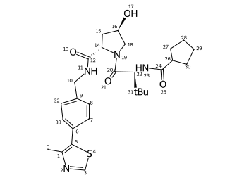 Cc1ncsc1-c1ccc(CNC(=O)[C@@H]2C[C@@H](O)CN2C(=O)[C@@H](NC(=O)C2CCCC2)C(C)(C)C)cc1